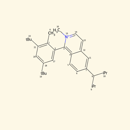 Cc1c(-c2c3ccc(C(C(C)C)C(C)C)cc3cc[n+]2C)cc(C(C)(C)C)cc1C(C)(C)C